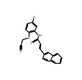 N#CCOc1ccc(Cl)cc1NC(=O)C=Cc1ccc2ccccc2c1